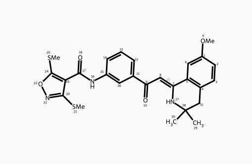 COc1ccc2c(c1)/C(=C/C(=O)c1cccc(NC(=O)c3c(SC)noc3SC)c1)NC(C)(C)C2